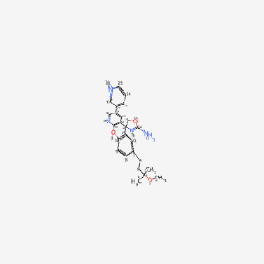 COC(C)(C)CCc1ccc2c(c1)C1(COC(N)=N1)c1cc(-c3cccnc3)cnc1O2